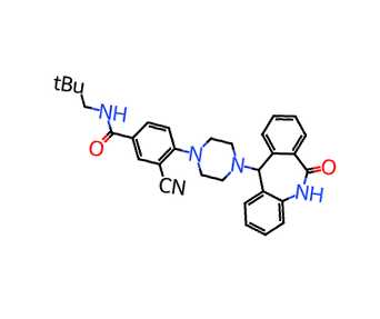 CC(C)(C)CNC(=O)c1ccc(N2CCN(C3c4ccccc4NC(=O)c4ccccc43)CC2)c(C#N)c1